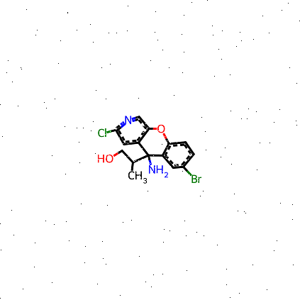 CC(CO)C1(N)c2cc(Br)ccc2Oc2cnc(Cl)cc21